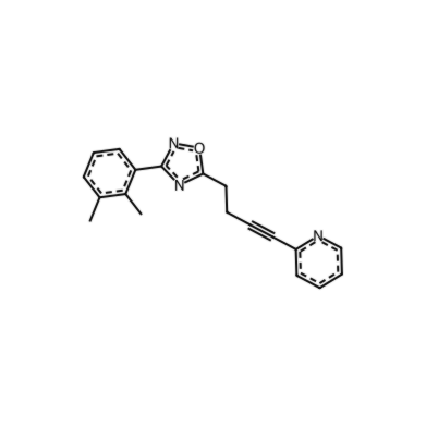 Cc1cccc(-c2noc(CCC#Cc3ccccn3)n2)c1C